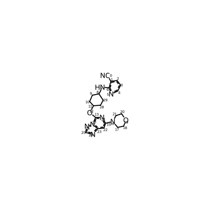 N#Cc1cccnc1NC1CCC(Oc2nc(N3CCOCC3)cc3ncnn23)CC1